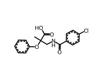 CC(CNC(=O)c1ccc(Cl)cc1)(Oc1ccccc1)C(=O)O